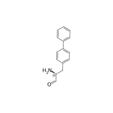 N[C@H](C=O)Cc1ccc(-c2ccccc2)cc1